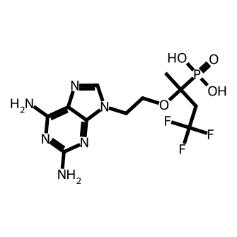 CC(CC(F)(F)F)(OCCn1cnc2c(N)nc(N)nc21)P(=O)(O)O